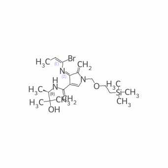 C=C(N[C@H](C)C(C)(C)O)C1=CN(COCC[Si](C)(C)C)C(=C)/C1=N\C(Br)=C/C